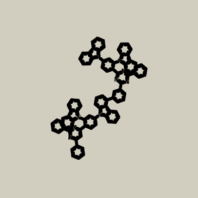 c1ccc(-c2cc(-c3ccc(-n4c5ccccc5c5c(-c6cccc(-c7nc(-c8ccccc8)nc(-c8ccc(-n9c%10ccccc%10c%10ccccc%109)cc8-n8c9ccccc9c9ccccc98)n7)c6)cccc54)cc3-n3c4ccccc4c4ccccc43)nc(-c3ccccc3)n2)cc1